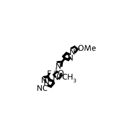 CO[C@H]1CCN(c2ccc(C3CN(C[C@H]4CN(c5ccc(C#N)n6ncc(F)c56)C[C@@H](C)O4)C3)cn2)C1